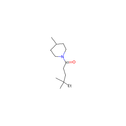 CCC(C)(C)CCC(=O)N1CCC(C)CC1